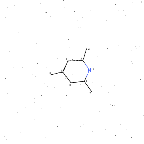 CC1CC(C)[N]C(C)C1